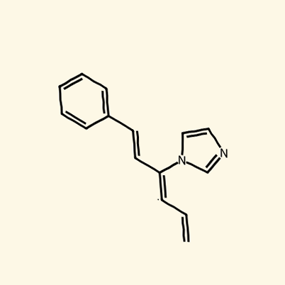 C=C[C]=C(C=Cc1ccccc1)n1ccnc1